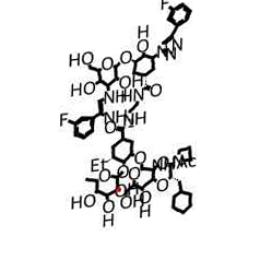 CC[C@@H]1CC(C(=O)NCCNC(=O)[C@H]2CC(n3cc(-c4cccc(F)c4)nn3)C(O)[C@H](OC3OC(CO)C(O)C(N/C=C(\N)c4cccc(F)c4)C3O)C2)CC(OC2OC(CO)C(O)C(O[C@@H](CC3CCCCC3)C(=O)N3CCC3)C2NC(C)=O)C1OC1OC(C)C(O)C(O)C1O